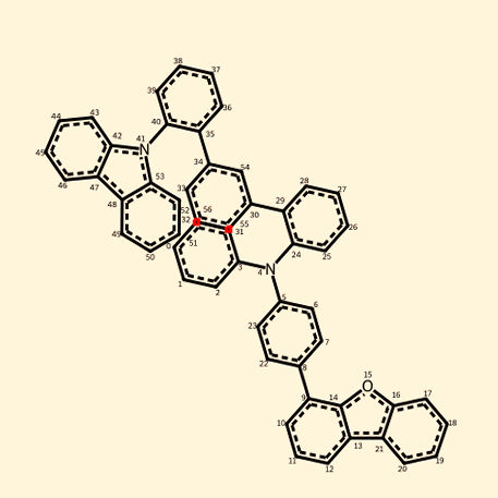 c1ccc(N(c2ccc(-c3cccc4c3oc3ccccc34)cc2)c2ccccc2-c2cccc(-c3ccccc3-n3c4ccccc4c4ccccc43)c2)cc1